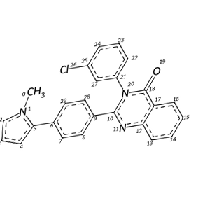 Cn1cccc1-c1ccc(-c2nc3ccccc3c(=O)n2-c2cccc(Cl)c2)cc1